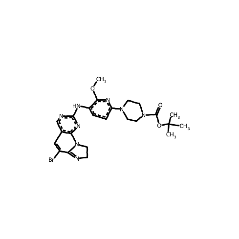 COc1nc(N2CCN(C(=O)OC(C)(C)C)CC2)ccc1Nc1ncc2c(n1)N1CCN=C1C(Br)=C2